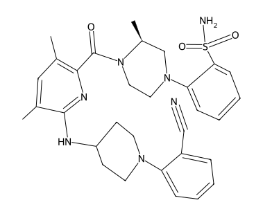 Cc1cc(C)c(C(=O)N2CCN(c3ccccc3S(N)(=O)=O)C[C@@H]2C)nc1NC1CCN(c2ccccc2C#N)CC1